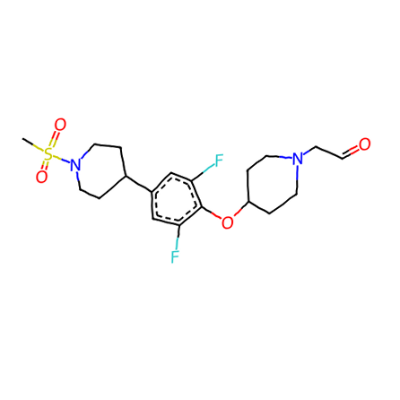 CS(=O)(=O)N1CCC(c2cc(F)c(OC3CCN(CC=O)CC3)c(F)c2)CC1